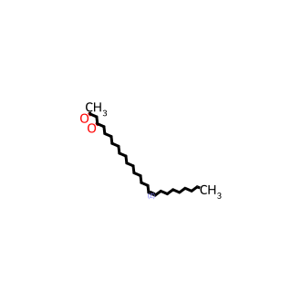 CCCCCCCC/C=C\CCCCCCCCCCCCCC(=O)CC(C)=O